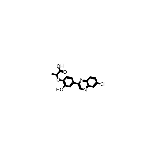 CC(Oc1ccc(-c2cnc3cc(Cl)ccc3n2)cc1O)C(=O)O